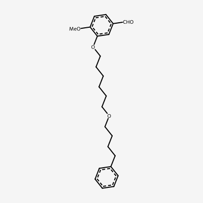 COc1ccc(C=O)cc1OCCCCCCOCCCCc1ccccc1